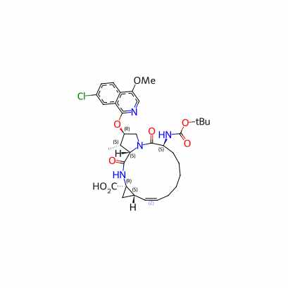 COc1cnc(O[C@H]2CN3C(=O)[C@@H](NC(=O)OC(C)(C)C)CCCCC/C=C\[C@@H]4C[C@@]4(C(=O)O)NC(=O)[C@@H]3[C@@H]2C)c2cc(Cl)ccc12